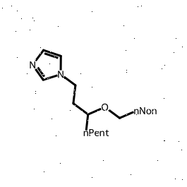 CCCCCCCCCCOC(CCCCC)CCn1ccnc1